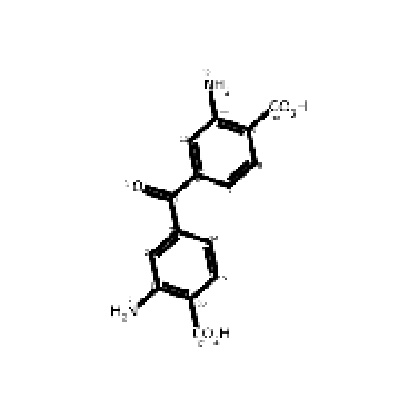 Nc1cc(C(=O)c2ccc(C(=O)O)c(N)c2)ccc1C(=O)O